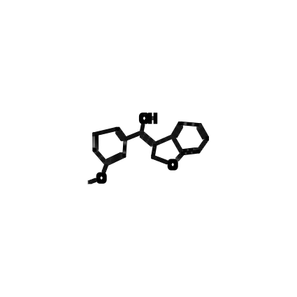 COc1cccc(C(O)=C2COc3ccccc32)c1